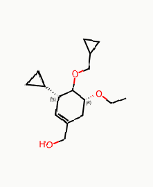 CCO[C@@H]1CC(CO)=C[C@H](C2CC2)C1OCC1CC1